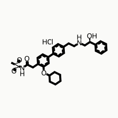 CS(=O)(=O)NC(=O)Cc1ccc(-c2ccc(CCNC[C@@H](O)c3ccccc3)cc2)cc1OC1CCCCC1.Cl